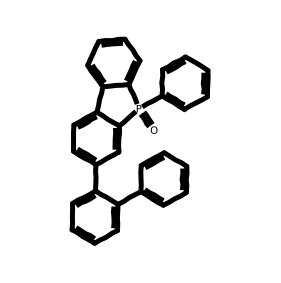 O=P1(c2ccccc2)c2ccccc2-c2ccc(-c3ccccc3-c3ccccc3)cc21